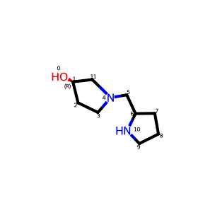 O[C@@H]1CCN(CC2CCCN2)C1